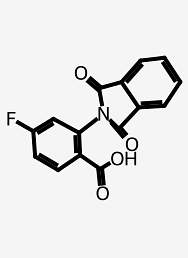 O=C(O)c1ccc(F)cc1N1C(=O)c2ccccc2C1=O